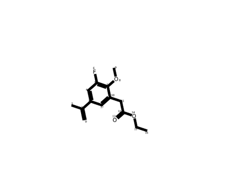 C=C(C)c1cc(F)c(OC)c(CC(=O)OCC)c1